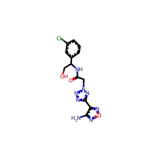 Nc1nonc1-c1nnn(CC(=O)NC(CO)c2cccc(Cl)c2)n1